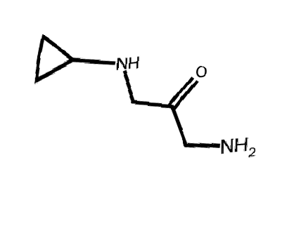 NCC(=O)CNC1CC1